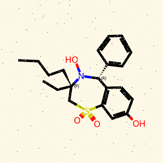 CCCC[C@]1(CC)CS(=O)(=O)c2cc(O)ccc2[C@@H](c2ccccc2)N1O